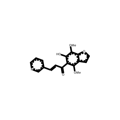 COc1c(C(=O)C=Cc2cccnc2)c(O)c(OC)c2occc12